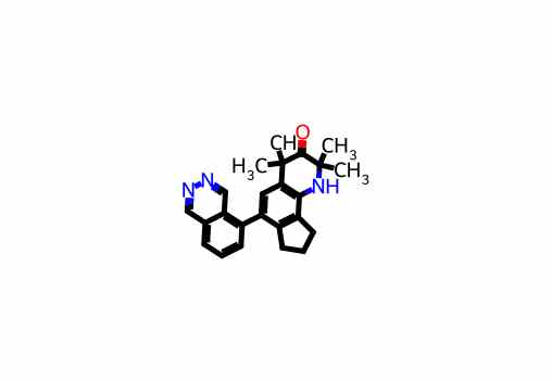 CC1(C)Nc2c(cc(-c3cccc4cnncc34)c3c2CCC3)C(C)(C)C1=O